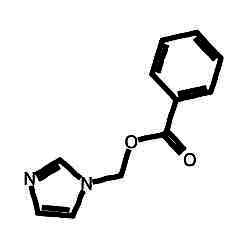 O=C(OCn1ccnc1)c1ccccc1